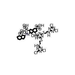 O=S(=O)(O)c1cc(Nc2nc(SCCNc3nc(Cl)nc(Cl)n3)nc(SCCNc3nc(Cl)nc(Cl)n3)n2)c2c(O)c(/N=N/c3ccc4ccccc4c3S(=O)(=O)O)c(SOOO)cc2c1